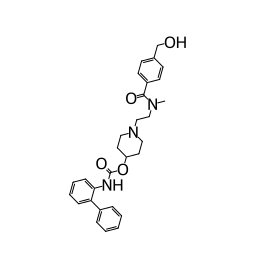 CN(CCN1CCC(OC(=O)Nc2ccccc2-c2ccccc2)CC1)C(=O)c1ccc(CO)cc1